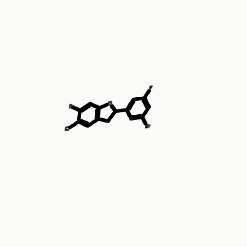 Fc1cc(Br)cc(C2Cc3cc(Cl)c(F)cc3O2)c1